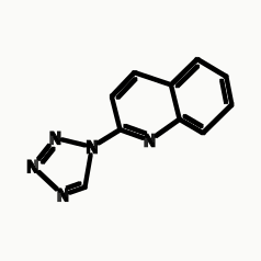 c1ccc2nc(-n3cnnn3)ccc2c1